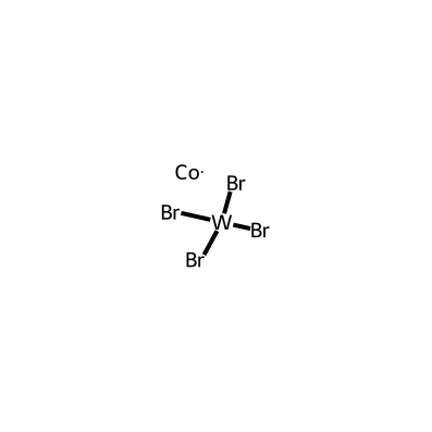 [Br][W]([Br])([Br])[Br].[Co]